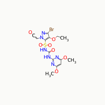 CCOc1c(Br)nn(C=C=O)c1S(=O)(=O)NC(=O)Nc1nc(OC)cc(OC)n1